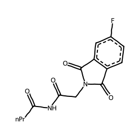 CCCC(=O)NC(=O)CN1C(=O)c2ccc(F)cc2C1=O